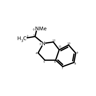 CNC(C)N1CCc2ccccc2C1